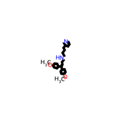 COc1ccc(C(=CCCNCCCCc2cccnc2)c2ccc(OC)cc2)cc1